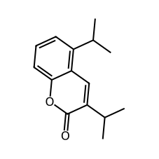 CC(C)c1cc2c(C(C)C)cccc2oc1=O